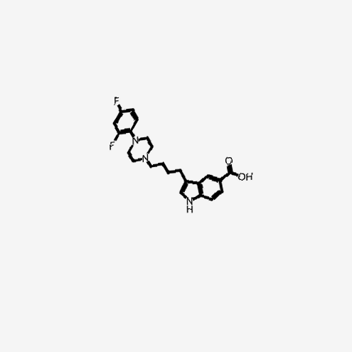 O=C(O)c1ccc2[nH]cc(CCCCN3CCN(c4ccc(F)cc4F)CC3)c2c1